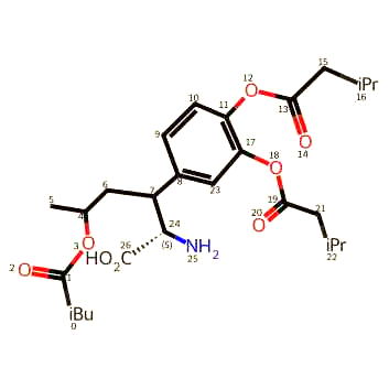 CCC(C)C(=O)OC(C)CC(c1ccc(OC(=O)CC(C)C)c(OC(=O)CC(C)C)c1)[C@H](N)C(=O)O